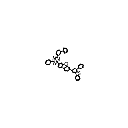 c1ccc(-c2cccc(-c3nc(-c4ccccc4)nc(-c4ccc5c(c4)oc4cc(-c6cc(-c7ccccc7)c7sc8ccccc8c7c6)ccc45)n3)c2)cc1